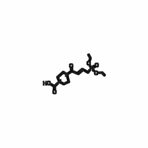 CCOP(=O)(CC=CC(=O)N1CCN(C(=O)O)CC1)OCC